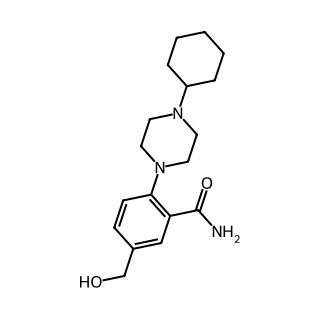 NC(=O)c1cc(CO)ccc1N1CCN(C2CCCCC2)CC1